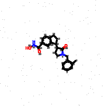 Cc1ccccc1CN1CCC(C2CCc3ccc(C(=O)NO)cc32)C1=O